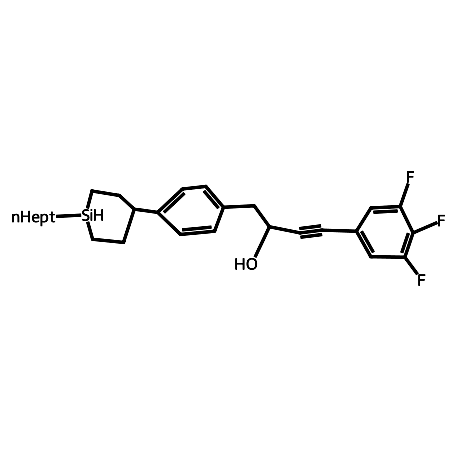 CCCCCCC[SiH]1CCC(c2ccc(CC(O)C#Cc3cc(F)c(F)c(F)c3)cc2)CC1